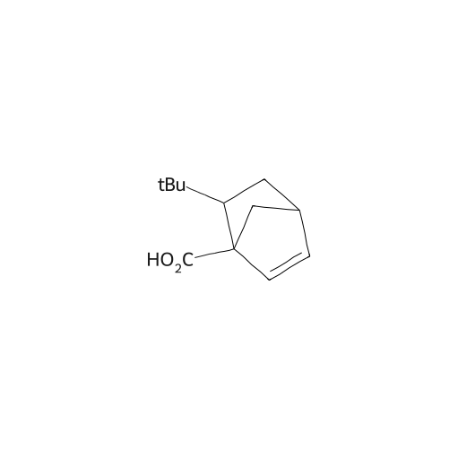 CC(C)(C)C1CC2C=CC1(C(=O)O)C2